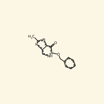 Cc1nc2c[nH]n(OCc3ccccc3)c(=O)c-2n1